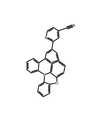 N#Cc1ccnc(-c2cccc(-c3ccccc3N3c4ccccc4Oc4ccccc43)c2)c1